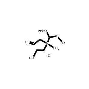 C=CC[N+](C)(CCO)C(CCCCC)OCC.[Cl-]